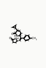 Cc1ccc(/C(=C/[C@H]2CCC(=O)N2)c2ccc(C3CC3)c(=O)[nH]2)cc1